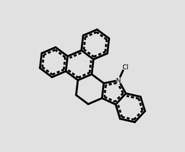 Cln1c2c(c3ccccc31)CCc1c-2c2ccccc2c2ccccc12